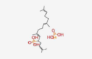 CC(C)=CCCC(C)=CCCC(C)=CC(CC=C(C)C)P(=O)(O)O.O=[PH](O)O